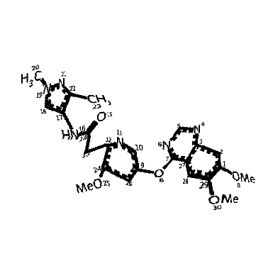 COc1cc2ncnc(Oc3cnc(CC(=O)Nc4cn(C)nc4C)c(OC)c3)c2cc1OC